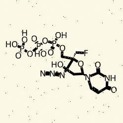 [N-]=[N+]=NC1(O)C[C@H](n2ccc(=O)[nH]c2=O)O[C@]1(CF)COP(=O)(O)OP(=O)(O)OP(=O)(O)O